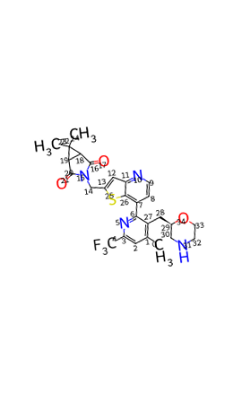 Cc1cc(C(F)(F)F)nc(-c2ccnc3cc(CN4C(=O)C5C(C4=O)C5(C)C)sc23)c1C[C@@H]1CNCCO1